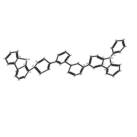 C1=CC(c2cccc(-c3ccc(-c4cccc5c4sc4ccccc45)cc3)c2)CC(c2ccc3c(c2)c2ccccc2n3-c2ccccc2)=C1